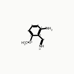 COc1cccc(N)c1C=N